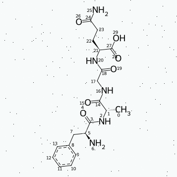 C[C@H](NC(=O)[C@@H](N)Cc1ccccc1)C(=O)NCC(=O)N[C@@H](CCC(N)=O)C(=O)O